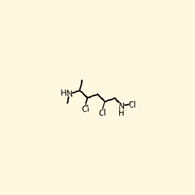 CNC(C)C(Cl)CC(Cl)CNCl